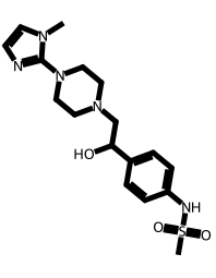 Cn1ccnc1N1CCN(CC(O)c2ccc(NS(C)(=O)=O)cc2)CC1